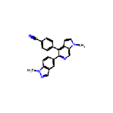 Cn1ccc2c(-c3ccc(C#N)cc3)c(-c3ccc4c(cnn4C)c3)ncc21